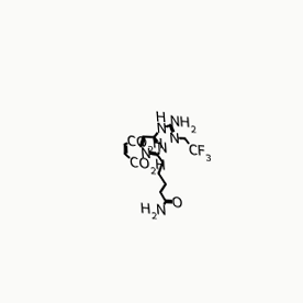 NC(=O)CCCCc1nccc(NC(N)=NCC(F)(F)F)n1.O=C(O)/C=C\C(=O)O